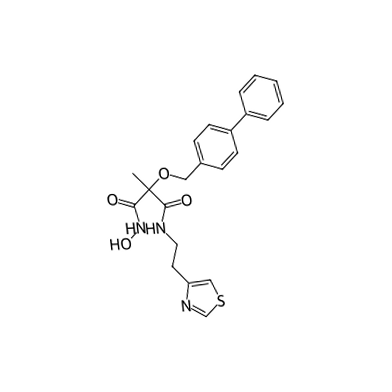 CC(OCc1ccc(-c2ccccc2)cc1)(C(=O)NO)C(=O)NCCc1cscn1